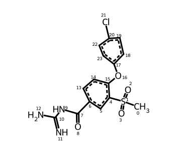 CS(=O)(=O)c1cc(C(=O)NC(=N)N)ccc1Oc1ccc(Cl)cc1